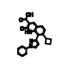 O=C(O)c1cc2ccc(C3CCC3)c(-c3ccn(-c4ccccc4)n3)c2[nH]c1=O